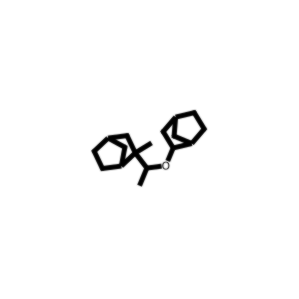 CC(OC1CC2CCC1C2)C1(C)CC2CCC1C2